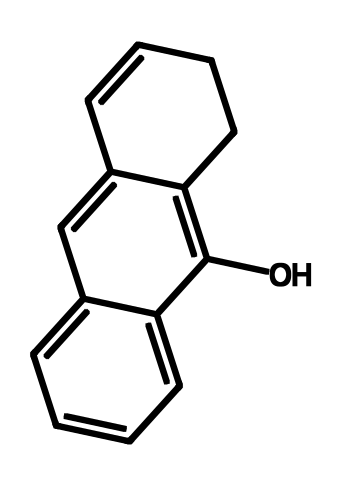 Oc1c2c(cc3ccccc13)C=CCC2